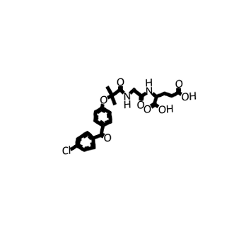 CC(C)(Oc1ccc(C(=O)c2ccc(Cl)cc2)cc1)C(=O)NCC(=O)NC(CCC(=O)O)C(=O)O